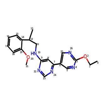 CCOc1ncc(-c2cc(NCC(C)c3ccccc3OC)ncn2)cn1